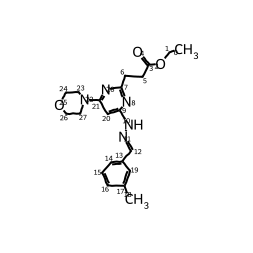 CCOC(=O)CCc1nc(NN=Cc2cccc(C)c2)cc(N2CCOCC2)n1